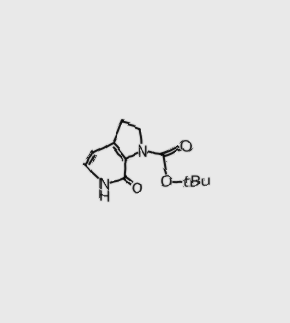 CC(C)(C)OC(=O)N1CCc2cc[nH]c(=O)c21